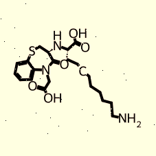 NCCCCCCCCC[C@H](N[C@H]1CSc2ccccc2N(CC(=O)O)C1=O)C(=O)O